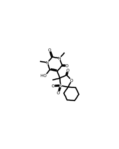 Cn1c(O)c(C2(C)C(=O)OC3(CCCCC3)S2(=O)=O)c(=O)n(C)c1=O